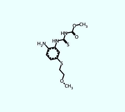 COCCSc1ccc(N)c(NC(=S)NC(=O)OC)c1